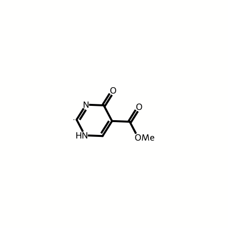 COC(=O)c1c[nH][c]nc1=O